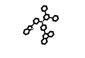 c1ccc(-c2cc(-c3ccccc3)cc(N(c3ccc(-c4cc5ccccc5c5ccccc45)cc3)c3cccc(-c4cc5ccccc5o4)c3)c2)cc1